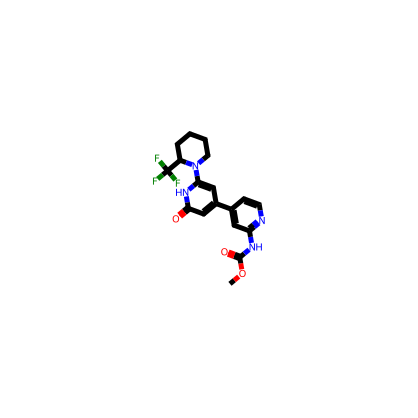 COC(=O)Nc1cc(-c2cc(N3CCCCC3C(F)(F)F)[nH]c(=O)c2)ccn1